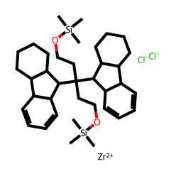 C[Si](C)(C)OCCC(CCO[Si](C)(C)C)(C1C2C=CC=CC2C2CCCCC21)C1C2C=CC=CC2C2CCCCC21.[Cl-].[Cl-].[Zr+2]